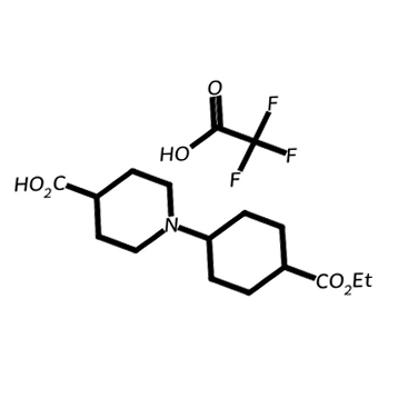 CCOC(=O)C1CCC(N2CCC(C(=O)O)CC2)CC1.O=C(O)C(F)(F)F